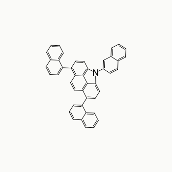 c1ccc2cc(-n3c4ccc(-c5cccc6ccccc56)c5ccc6c(-c7cccc8ccccc78)ccc3c6c54)ccc2c1